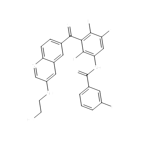 O=C(Nc1cc(F)c(F)c(C(=O)c2ccc3ncc(NCCO)cc3c2)c1F)c1cccc(F)c1